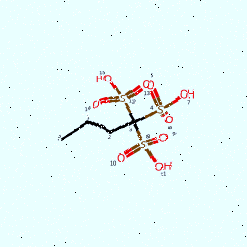 [CH2]CCC(S(=O)(=O)O)(S(=O)(=O)O)S(=O)(=O)O